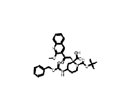 COc1nc2ccccc2cc1C(=O)C[C@]1(C(=O)O)CC(NC(=O)OCc2ccccc2)CCN1C(=O)OC(C)(C)C